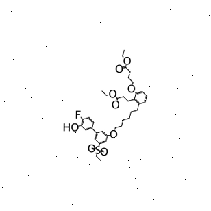 CCOC(=O)CCCOc1cccc(CCCCCCOc2cc(-c3ccc(F)c(O)c3)cc(S(=O)(=O)CC)c2)c1CCC(=O)OCC